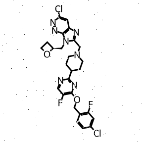 Fc1cc(Cl)ccc1COc1nc(C2CCN(Cc3nc4cc(Cl)nnc4n3C[C@@H]3CCO3)CC2)ncc1F